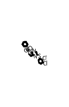 O=S(=O)(c1ccccc1)n1ccc2nc(Sc3cccc(Cl)c3Cl)cnc21